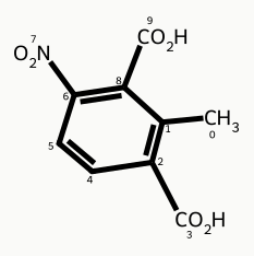 Cc1c(C(=O)O)ccc([N+](=O)[O-])c1C(=O)O